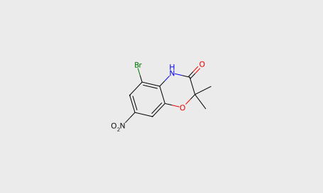 CC1(C)Oc2cc([N+](=O)[O-])cc(Br)c2NC1=O